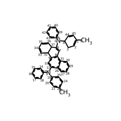 CC1=CCC(N(C2=Cc3c(cc(N(c4ccccc4)c4ccc(C)cc4)c4ccccc34)C3C=CC=CC23)c2ccccc2)C=C1